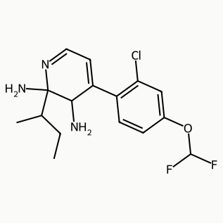 CCC(C)C1(N)N=CC=C(c2ccc(OC(F)F)cc2Cl)C1N